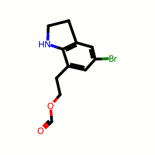 O=COCCc1cc(Br)cc2c1NCC2